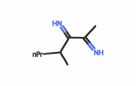 CCCC(C)C(=N)C(C)=N